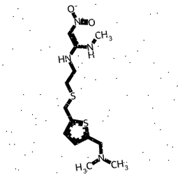 CNC(=C[N+](=O)[O-])NCCSCc1ccc(CN(C)C)s1